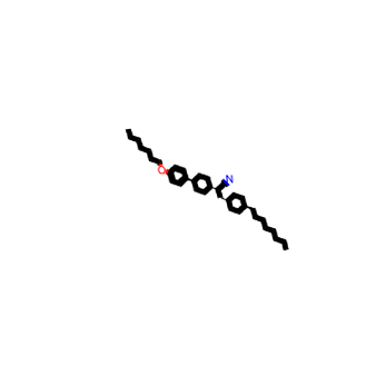 CCCCCCCC[C@H]1CC[C@H](CC(C#N)[C@H]2CC[C@H](c3ccc(OCCCCCCC)cc3)CC2)CC1